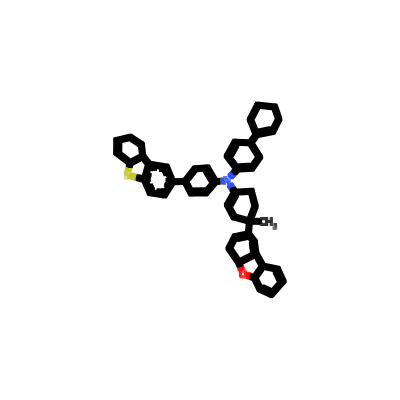 CC1(C2=CCC3OC4C=CC=CC4C3=C2)CC=C(N(C2=CCC(C3=CCCCC3)C=C2)C2=CCC(c3ccc4c(c3)C3CCC=CC3S4)C=C2)CC1